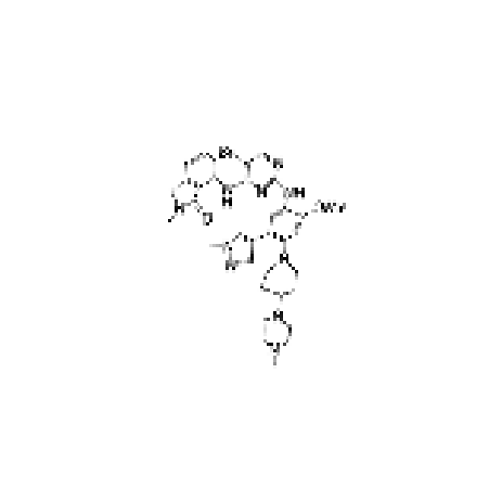 COc1cc(N2CCC(N3CCN(C)CC3)CC2)c(-c2cnn(C)c2)cc1Nc1ncc(Br)c(Nc2cccc3c2C(=O)N(C)C3)n1